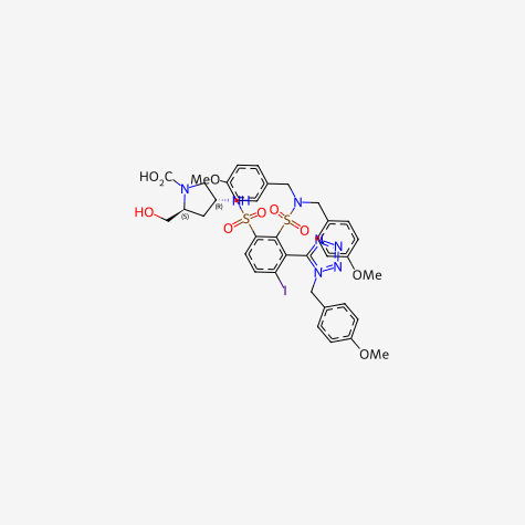 COc1ccc(CN(Cc2ccc(OC)cc2)S(=O)(=O)c2c(S(=O)(=O)N[C@@H]3C[C@@H](CO)N(C(=O)O)C3)ccc(I)c2-c2nnnn2Cc2ccc(OC)cc2)cc1